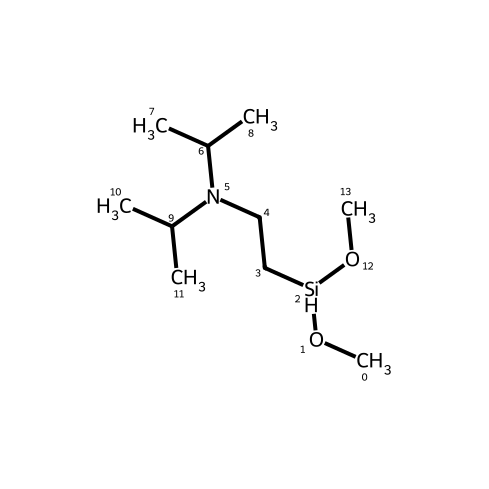 CO[SiH](CCN(C(C)C)C(C)C)OC